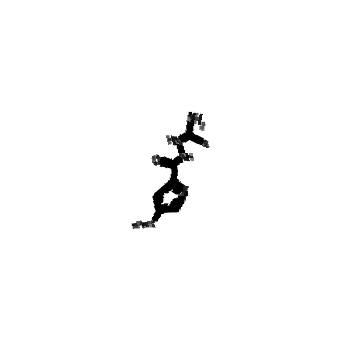 CCCCCc1csc(C(=O)NNC(N)=S)c1